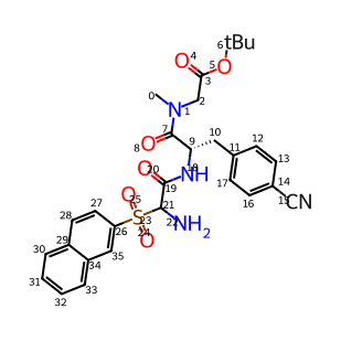 CN(CC(=O)OC(C)(C)C)C(=O)[C@H](Cc1ccc(C#N)cc1)NC(=O)C(N)S(=O)(=O)c1ccc2ccccc2c1